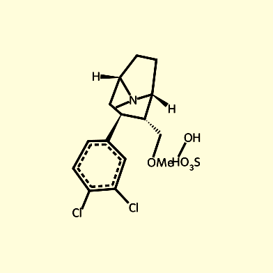 COC[C@@H]1[C@@H](c2ccc(Cl)c(Cl)c2)C[C@@H]2CC[C@H]1N2C.O=S(=O)(O)O